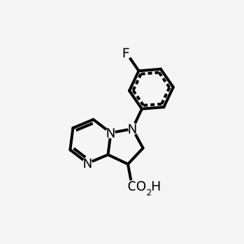 O=C(O)C1CN(c2cccc(F)c2)N2C=CC=NC12